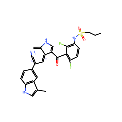 C=c1[nH]cc(C(=O)c2c(F)ccc(NS(=O)(=O)CCC)c2F)/c1=C/C(=C\N)c1ccc2[nH]cc(C)c2c1